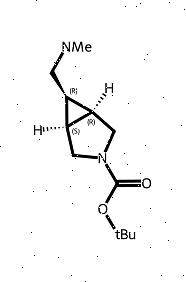 CNC[C@H]1[C@H]2CN(C(=O)OC(C)(C)C)C[C@@H]12